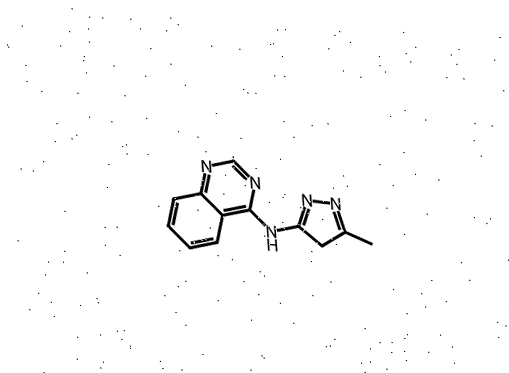 CC1=NN=C(Nc2n[c]nc3ccccc23)C1